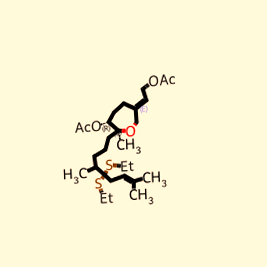 CCSC(CC=C(C)C)(SCC)C(C)CCC[C@]1(C)OC/C(=C/COC(C)=O)CC[C@H]1OC(C)=O